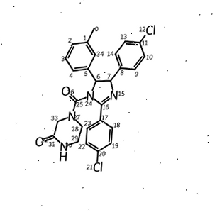 Cc1cccc(C2C(c3ccc(Cl)cc3)N=C(c3ccc(Cl)cc3)N2C(=O)N2CCNC(=O)C2)c1